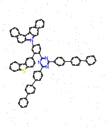 c1ccc(-c2ccc(-c3ccc(-c4nc(-c5ccc(-c6ccc(-c7ccccc7)cc6)cc5)nc(-c5ccc(-n6c7cc8ccccc8cc7c7c8ccccc8ccc76)cc5-c5ccc6sc7ccccc7c6c5)n4)cc3)cc2)cc1